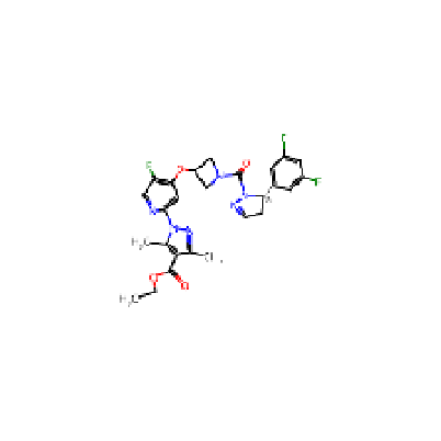 CCOC(=O)c1c(C)nn(-c2cc(OC3CN(C(=O)N4N=CC[C@H]4c4cc(F)cc(F)c4)C3)c(F)cn2)c1C